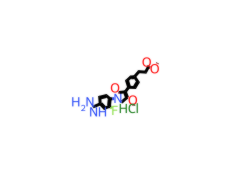 COC(=O)CCc1ccc(C2=C(OC)CN(c3ccc(C(=N)N)cc3F)C2=O)cc1.Cl